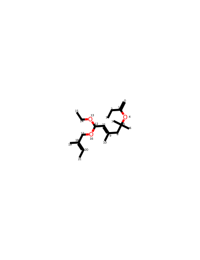 C=C(CC)OC(C)(C)CC(C)=CC(OCC)OCC(C)=CC